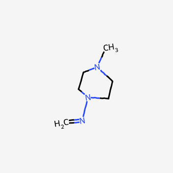 C=NN1CCN(C)CC1